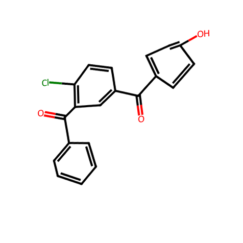 O=C(c1ccc(O)cc1)c1ccc(Cl)c(C(=O)c2ccccc2)c1